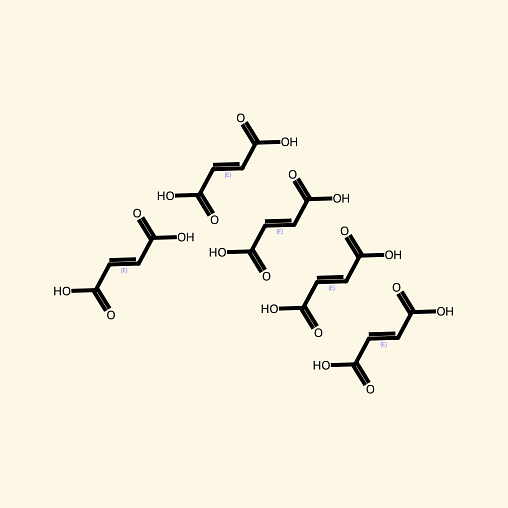 O=C(O)/C=C/C(=O)O.O=C(O)/C=C/C(=O)O.O=C(O)/C=C/C(=O)O.O=C(O)/C=C/C(=O)O.O=C(O)/C=C/C(=O)O